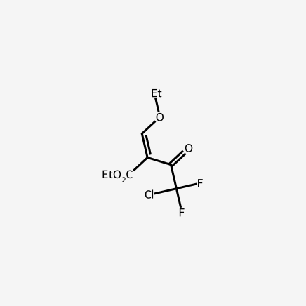 CCOC=C(C(=O)OCC)C(=O)C(F)(F)Cl